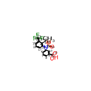 CCc1c(N(c2cccc(C(=O)O)c2)[SH](=O)=O)cccc1C(F)(F)F